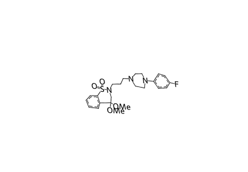 COC1(OC)CN(CCCN2CCN(c3ccc(F)cc3)CC2)S(=O)(=O)c2ccccc21